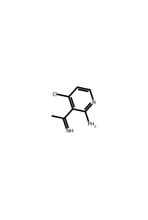 CC(=N)c1c(Cl)ccnc1P